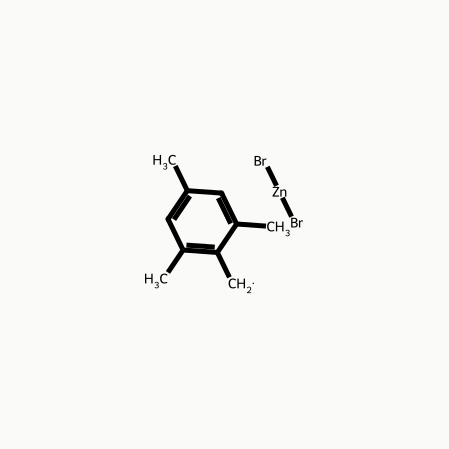 [Br][Zn][Br].[CH2]c1c(C)cc(C)cc1C